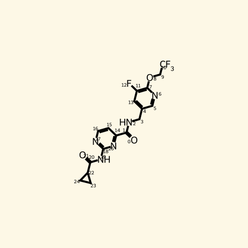 O=C(NCc1cnc(OCC(F)(F)F)c(F)c1)c1ccnc(NC(=O)C2CC2)n1